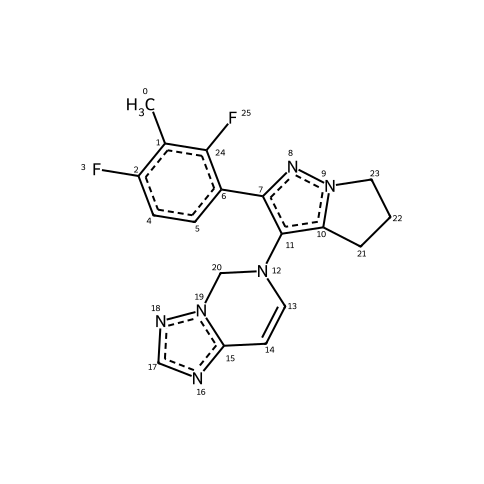 Cc1c(F)ccc(-c2nn3c(c2N2C=Cc4ncnn4C2)CCC3)c1F